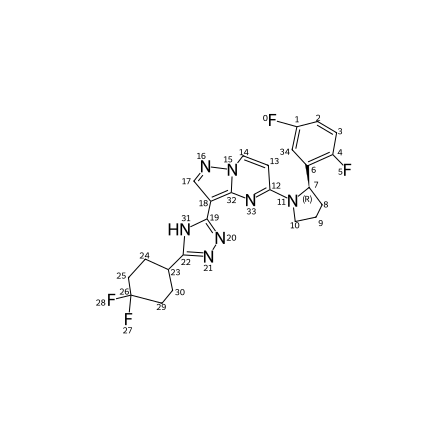 Fc1ccc(F)c([C@H]2CCCN2c2ccn3ncc(-c4nnc(C5CCC(F)(F)CC5)[nH]4)c3n2)c1